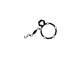 CCOOC#CON1CCOCCOCCOCCOc2ccccc21